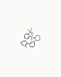 Cc1cnccc1-c1cccc(C2CCCCN2S(=O)(=O)c2ccccc2C(F)(F)F)c1